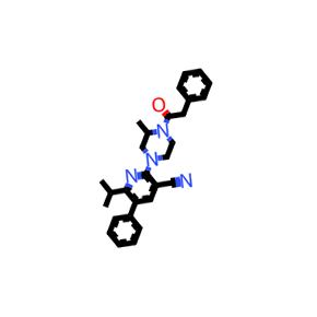 CC(C)c1nc(N2CCN(C(=O)Cc3ccccc3)C(C)C2)c(C#N)cc1-c1ccccc1